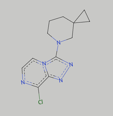 Clc1nccn2c(N3CCCC4(CC4)C3)nnc12